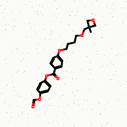 CC1(COCCCCOc2ccc(C(=O)Oc3ccc(OC=O)cc3)cc2)COC1